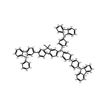 CC1(C)c2cc(-c3ccc4c5ccccc5n(-c5ccccc5)c4c3)ccc2-c2ccc(N(c3ccc(-c4ccc(-n5c6ccccc6c6ccccc65)cc4)cc3)c3ccc(-n4c5ccccc5c5ccccc54)cc3)cc21